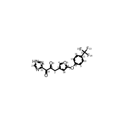 O=C(Cc1coc(Oc2ccc(C(F)(F)F)cc2)c1)C(=O)c1nc[nH]n1